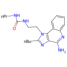 CCCCc1nc2c(N)nc3ccccc3c2n1CCNC(=O)NCCC